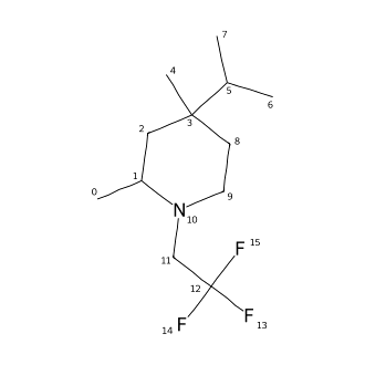 CC1CC(C)(C(C)C)CCN1CC(F)(F)F